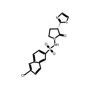 O=C1[C@@H](c2nccs2)CCN1NS(=O)(=O)c1ccc2cc(Cl)ccc2c1